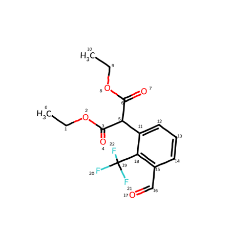 CCOC(=O)C(C(=O)OCC)c1cccc(C=O)c1C(F)(F)F